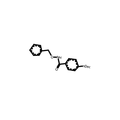 CCCCCCCCCCc1ccc(C(=O)NOCc2ccccc2)cc1